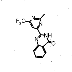 Cc1nc(-c2nc3ccccc3c(=O)[nH]2)cc(C(F)(F)F)n1